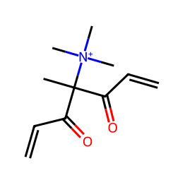 C=CC(=O)C(C)(C(=O)C=C)[N+](C)(C)C